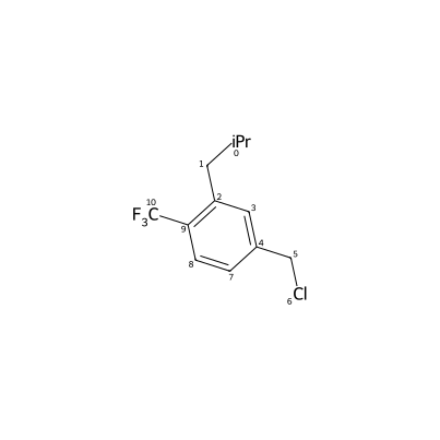 CC(C)Cc1cc(CCl)ccc1C(F)(F)F